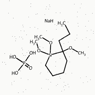 CCCC1(OC)CCCC[Si]1(OC)OC.O=P(O)(O)O.[NaH]